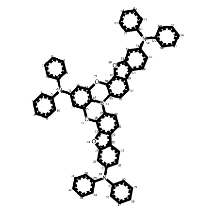 c1ccc(N(c2ccccc2)c2cc3c4c(c2)Oc2c(ccc5c2oc2cc(N(c6ccccc6)c6ccccc6)ccc25)B4c2ccc4c(oc5cc(N(c6ccccc6)c6ccccc6)ccc54)c2O3)cc1